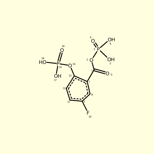 O=C(OP(=O)(O)O)c1cc(F)ccc1OP(=O)(O)O